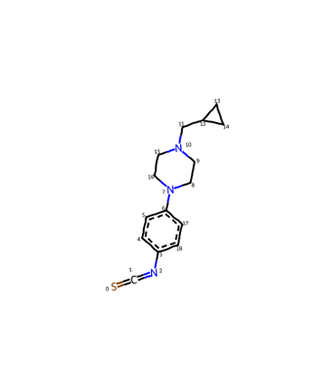 S=C=Nc1ccc(N2CCN(CC3CC3)CC2)cc1